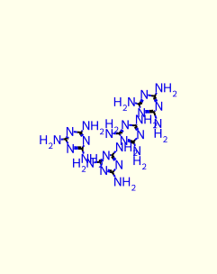 Nc1nc(N)nc(N)n1.Nc1nc(N)nc(N)n1.Nc1nc(N)nc(N)n1.Nc1nc(N)nc(N)n1